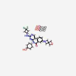 O=CO.O=CO.O=CO.O=c1c2cc(N3CC4(COC4)C3)ccc2c2cnc(NC3CC(F)(F)C3)nc2n1[C@H]1CC[C@H](O)CC1